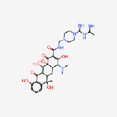 CC(=N)NC(=N)N1CCN(CNC(=O)C2=C(O)C(N(C)C)C3CC4C(=C(O)C3(O)C2=O)C(=O)c2c(O)cccc2C4(C)O)CC1